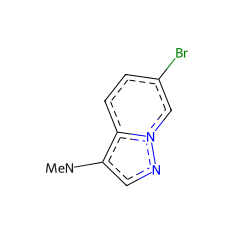 CNc1cnn2cc(Br)ccc12